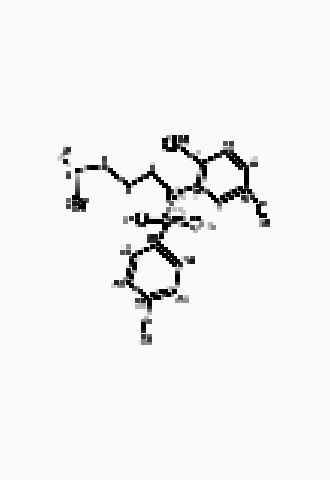 C[C@@H](Br)CCCN(c1cc(Cl)ccc1Cl)S(=O)(=O)c1ccc(Cl)cc1